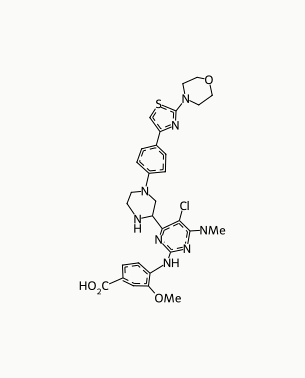 CNc1nc(Nc2ccc(C(=O)O)cc2OC)nc(C2CN(c3ccc(-c4csc(N5CCOCC5)n4)cc3)CCN2)c1Cl